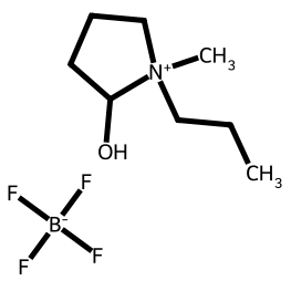 CCC[N+]1(C)CCCC1O.F[B-](F)(F)F